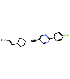 C/C=C/[C@H]1CC[C@H](C#Cc2cnc(-c3ccc(F)cc3)nc2)CC1